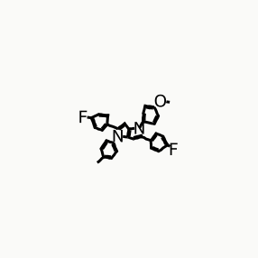 COc1ccc(-n2c(-c3ccc(F)cc3)cc3c2cc(-c2ccc(F)cc2)n3-c2ccc(C)cc2)cc1